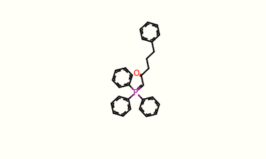 O=C(C=P(c1ccccc1)(c1ccccc1)c1ccccc1)CCCc1ccccc1